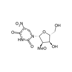 CO[C@@H]1[C@H](O)[C@@H](CO)O[C@H]1n1cc([N+](=O)[O-])c(=O)[nH]c1=O